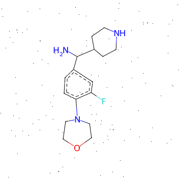 NC(c1ccc(N2CCOCC2)c(F)c1)C1CCNCC1